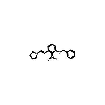 O=[N+]([O-])c1c(C=CN2CCCC2)cccc1OCc1ccccc1